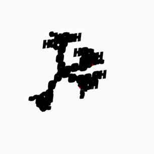 C=CCN1CC[C@]23c4c5ccc(O)c4OC2C(OCCOCCOCC(COCCOCCOC2CC[C@@]4(O)C6Cc7ccc(O)c8c7[C@@]4(CCN6CC=C)C2O8)(COCCOCCOC2CC[C@@]4(O)C6Cc7ccc(C)c8c7[C@@]4(CCN6CC=C)[C@H]2O8)COCCOCCOC2CC[C@@]4(O)C6Cc7ccc(O)c8c7[C@@]4(CCN6CC=C)[C@H]2O8)CC[C@@]3(O)C1C5